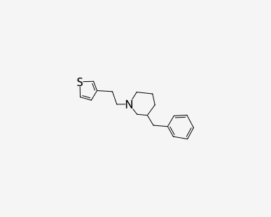 c1ccc(CC2CCCN(CCc3ccsc3)C2)cc1